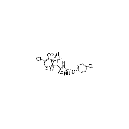 CC(=O)N(NC(=N)COc1ccc(Cl)cc1)C1C(=O)N2C(C(=O)O)=C(Cl)CS[C@H]12